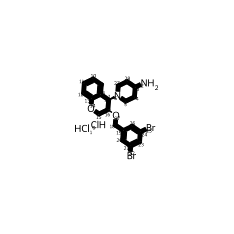 Cl.Cl.NC1CCN([C@@H]2c3ccccc3OC[C@H]2OCc2cc(Br)cc(Br)c2)CC1